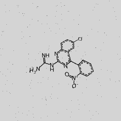 N=C(N)Nc1nc(-c2ccccc2[N+](=O)[O-])c2cc(Cl)ccc2n1